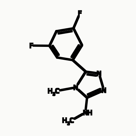 CNc1nnc(-c2cc(F)cc(F)c2)n1C